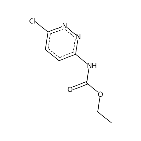 CCOC(=O)Nc1ccc(Cl)nn1